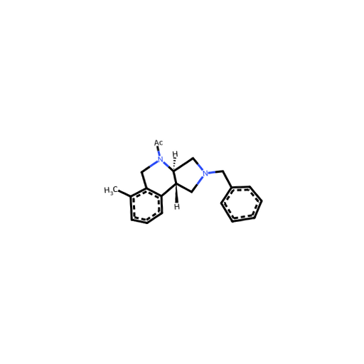 CC(=O)N1Cc2c(C)cccc2[C@H]2CN(Cc3ccccc3)C[C@@H]21